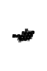 COC1=CC(OC(N)=O)C(Oc2ccc3oc(=O)ccc3c2)OC1(C)C